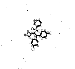 O=S(=O)(c1cccnc1)C(C1CNC1)C(c1ccc(Cl)cc1)c1ccc(Cl)cc1